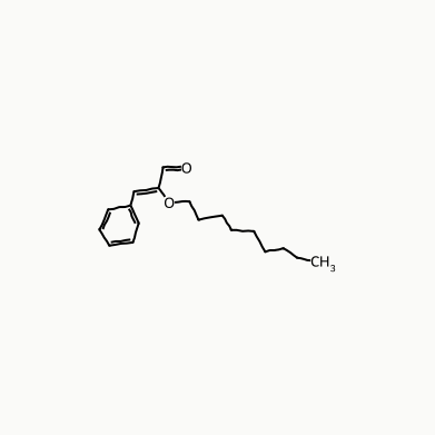 CCCCCCCCCOC(C=O)=Cc1ccccc1